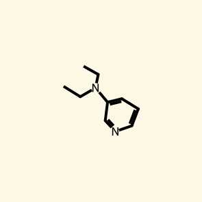 CCN(CC)c1cccnc1